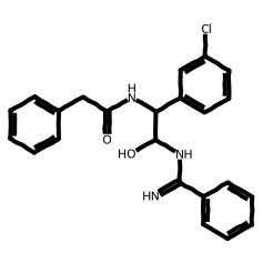 N=C(NC(O)C(NC(=O)Cc1ccccc1)c1cccc(Cl)c1)c1ccccc1